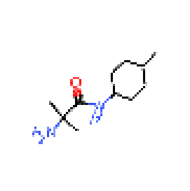 CC1CCC(NC(=O)C(C)(C)N)CC1